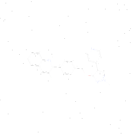 Cn1cc(-c2ccncc2)c(OCc2ccc(-c3nc4ccccc4cc3Cl)cc2)n1